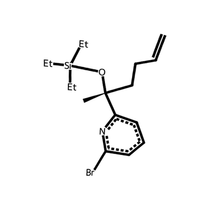 C=CCC[C@@](C)(O[Si](CC)(CC)CC)c1cccc(Br)n1